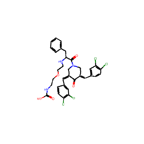 O=C(O)NCCOCCNC(Cc1ccccc1)C(=O)N1CC(=Cc2ccc(Cl)c(Cl)c2)C(=O)C(=Cc2ccc(Cl)c(Cl)c2)C1